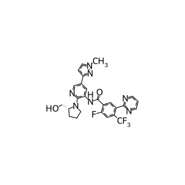 Cn1ccc(-c2cnc(N3CCC[C@@H]3CO)c(NC(=O)c3cc(-c4ncccn4)c(C(F)(F)F)cc3F)c2)n1